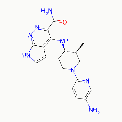 C[C@H]1CN(c2ccc(N)cn2)CC[C@H]1Nc1c(C(N)=O)nnc2[nH]ccc12